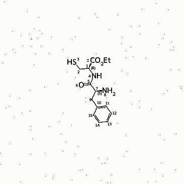 CCOC(=O)[C@H](CS)NC(=O)[C@@H](N)Cc1ccccc1